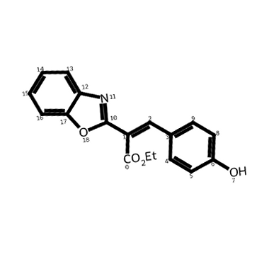 CCOC(=O)C(=Cc1ccc(O)cc1)c1nc2ccccc2o1